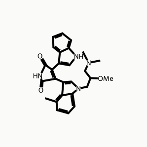 COC(CN(C)C)Cn1cc(C2=C(c3c[nH]c4ccccc34)C(=O)NC2=O)c2c(C)cccc21